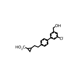 O=C(O)C1CC1CCc1ccc(-c2cc(Cl)cc(CO)c2)cc1